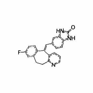 O=c1[nH]c2ccc(C=C3c4ccc(F)cc4CCc4ncccc43)cc2[nH]1